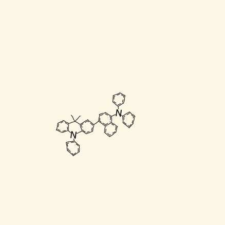 CC1(C)c2ccccc2N(c2ccccc2)c2ccc(-c3ccc(N(c4ccccc4)c4ccccc4)c4ccccc34)cc21